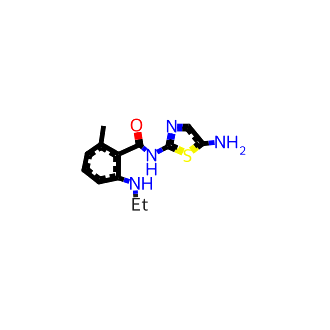 CCNc1cccc(C)c1C(=O)Nc1ncc(N)s1